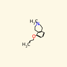 C=CCOc1cccc2c1CCN(C)CC2